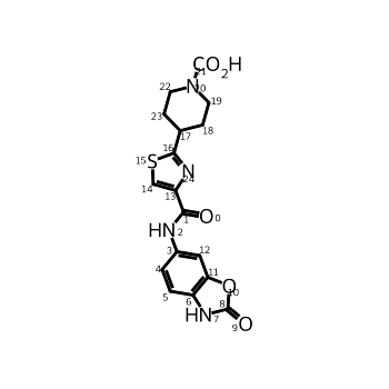 O=C(Nc1ccc2[nH]c(=O)oc2c1)c1csc(C2CCN(C(=O)O)CC2)n1